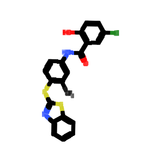 O=C(Nc1ccc(Sc2nc3ccccc3s2)c(C(F)(F)F)c1)c1cc(Cl)ccc1O